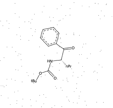 CCC[C@H](NC(=O)OC(C)(C)C)C(=O)c1ccccc1